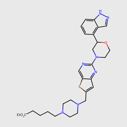 CCOC(=O)CCCCN1CCN(Cc2cc3nc(N4CCOC(c5cccc6[nH]ncc56)C4)ncc3s2)CC1